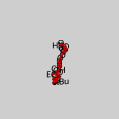 CCOc1cc(O)c(C(=O)/C=C/c2ccc(N3CCN(CCOCCOCCOc4cccc5c4C(=O)N(C4CCC(=O)NC4=O)C5=O)CC3)cc2Cl)cc1CN1CCC[C@@H]1CO[Si](c1ccccc1)(c1ccccc1)C(C)(C)C